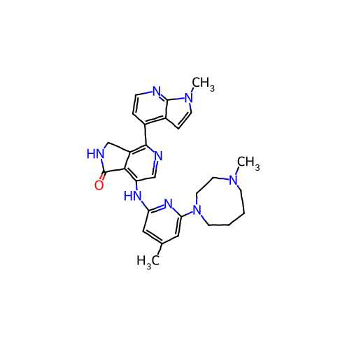 Cc1cc(Nc2cnc(-c3ccnc4c3ccn4C)c3c2C(=O)NC3)nc(N2CCCCN(C)CC2)c1